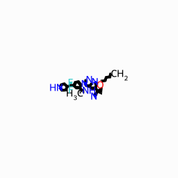 C=CCCCCOc1nc2ncnc(N[C@H](C)c3cccc(C(F)(F)C4CCNCC4)c3)c2cc1C1(C#N)CC1